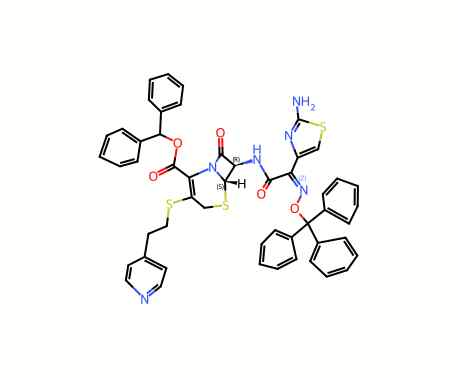 Nc1nc(/C(=N/OC(c2ccccc2)(c2ccccc2)c2ccccc2)C(=O)N[C@@H]2C(=O)N3C(C(=O)OC(c4ccccc4)c4ccccc4)=C(SCCc4ccncc4)CS[C@@H]23)cs1